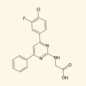 O=C(O)CNc1nc(-c2ccccc2)cc(-c2ccc(Cl)c(F)c2)n1